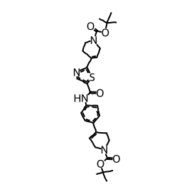 CC(C)(C)OC(=O)N1CC=C(c2ccc(NC(=O)c3cnc(C4=CCN(C(=O)OC(C)(C)C)CC4)s3)cc2)CC1